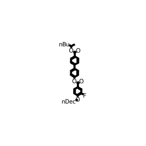 CCCCCCCCCCOc1ccc(C(=O)Oc2ccc(-c3ccc(C(=O)OC(C)CCCC)cc3)cc2)cc1F